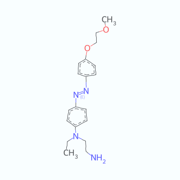 CCN(CCN)c1ccc(/N=N/c2ccc(OCCOC)cc2)cc1